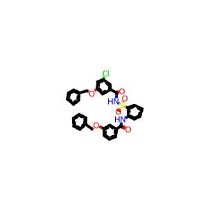 O=C(Nc1ccccc1S(=O)(=O)NC(=O)c1cc(Cl)cc(OCc2ccccc2)c1)c1cccc(OCc2ccccc2)c1